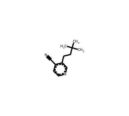 CC(C)(C)CCc1cnccc1C#N